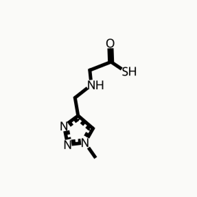 Cn1cc(CNCC(=O)S)nn1